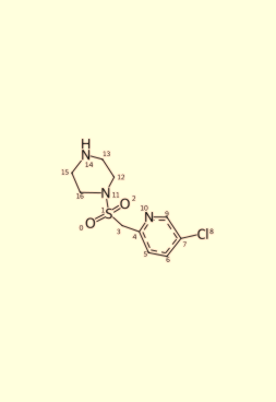 O=S(=O)(Cc1ccc(Cl)cn1)N1CCNCC1